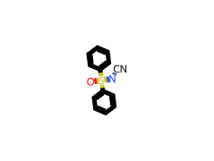 N#CN=S(=O)(c1ccccc1)c1ccccc1